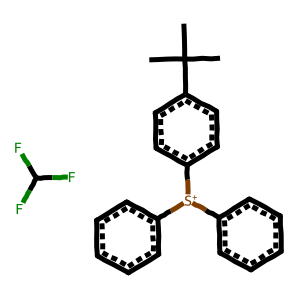 CC(C)(C)c1ccc([S+](c2ccccc2)c2ccccc2)cc1.FC(F)F